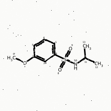 COc1cccc(S(=O)(=O)NC(C)C)c1